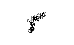 [2H]C([2H])(C1CCOCC1)N1C[C@H]2CC(Nc3nnc(-c4ccc5c(c4)OCC5)cc3C(F)(F)F)C[C@H]2C1